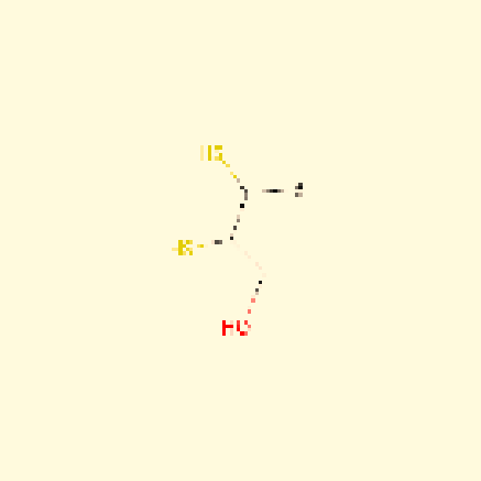 OCC(S)[CH](S)[Bi]